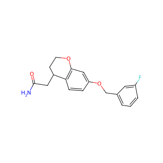 NC(=O)CC1CCOc2cc(OCc3cccc(F)c3)ccc21